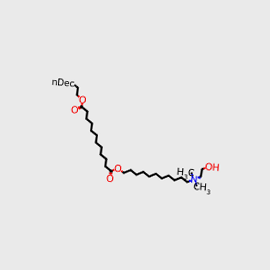 CCCCCCCCCCCCOC(=O)CCCCCCCCCCC(=O)OCCCCCCCCCCC[N+](C)(C)CCO